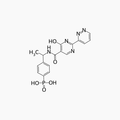 CC(NC(=O)c1cnc(-c2cccnn2)nc1O)c1ccc(P(=O)(O)O)cc1